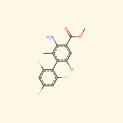 COC(=O)c1cc(Cl)c(-c2c(F)cc(F)cc2F)c(C)c1N